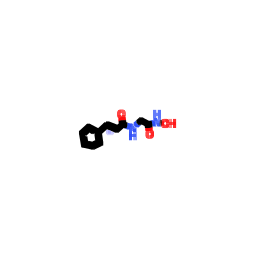 O=C(/C=C/c1ccccc1)NCC(=O)NO